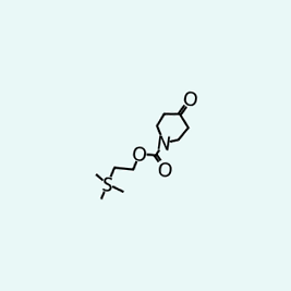 CS(C)(C)CCOC(=O)N1CCC(=O)CC1